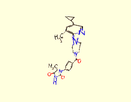 Cc1cc(C2CC2)cnc1N1CCN(C(=O)c2ccc(N3C(=O)NC(=O)C3C)cc2)CC1